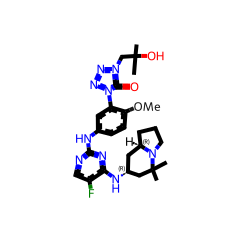 COc1ccc(Nc2ncc(F)c(N[C@@H]3C[C@H]4CCCN4C(C)(C)C3)n2)cc1-n1nnn(CC(C)(C)O)c1=O